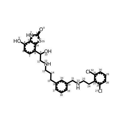 O=c1[nH]c2c(O)ccc(C(O)CNCCCc3cccc(CNCCc4c(Cl)cccc4Cl)c3)c2s1